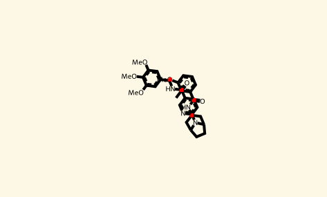 COc1cccc(C(=O)NC2CC3CCC(C2)N3c2ccc(C(=O)NCc3cc(OC)c(OC)c(OC)c3)cn2)c1C